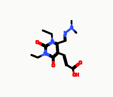 CCn1c(/C=N/N(C)C)c(/C=C/C(=O)O)c(=O)n(CC)c1=O